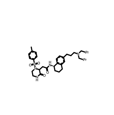 Cc1ccc(S(=O)(=O)N2CCNC(=O)C2CC(=O)N[C@@H]2CCCc3cc(CCCN(CC(C)C)CC(C)C)ccc32)cc1